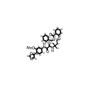 COc1cc(NC(=O)C(=O)NC(C)(C)CCOc2ccccc2C(=O)OCc2ccccc2)ccc1-c1cnco1